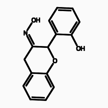 ON=C1Cc2ccccc2OC1c1ccccc1O